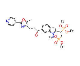 CCOP(=O)(CC(c1cc2ccc(C(=O)CCc3nc(-c4ccncc4)oc3C)cc2[nH]1)P(=O)(OCC)OCC)OCC